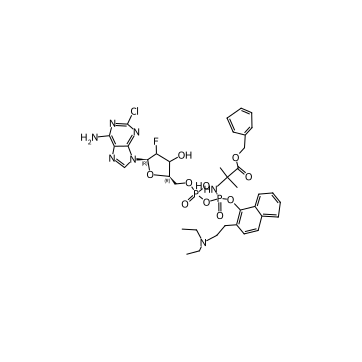 CCN(CC)CCc1ccc2ccccc2c1OP(=O)(NC(C)(C)C(=O)OCc1ccccc1)OP(=O)(O)OC[C@H]1O[C@@H](n2cnc3c(N)nc(Cl)nc32)C(F)C1O